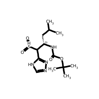 CC(C)C[C@H](NC(=O)OC(C)(C)C)C(c1nnc[nH]1)[SH](=O)=O